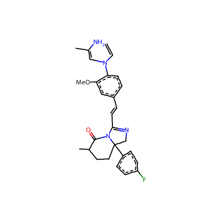 C=CN(/C=C(/C)N)c1ccc(/C=C/C2=NCC3(c4ccc(F)cc4)CCC(C)C(=O)N23)cc1OC